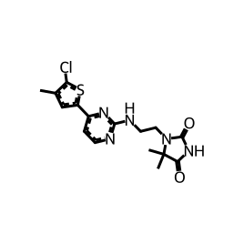 Cc1cc(-c2ccnc(NCCN3C(=O)NC(=O)C3(C)C)n2)sc1Cl